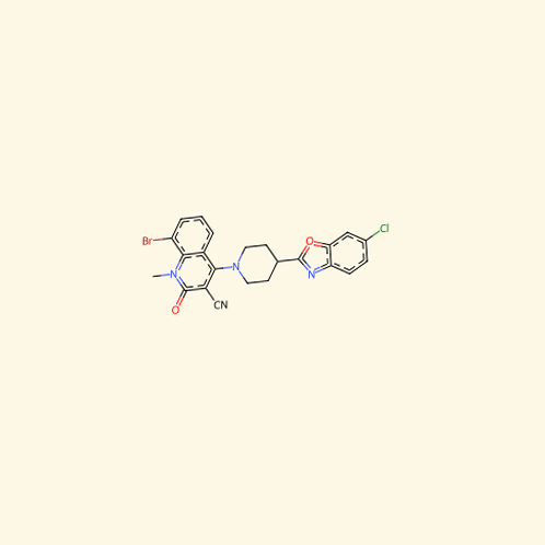 Cn1c(=O)c(C#N)c(N2CCC(c3nc4ccc(Cl)cc4o3)CC2)c2cccc(Br)c21